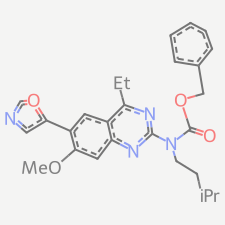 CCc1nc(N(CCC(C)C)C(=O)OCc2ccccc2)nc2cc(OC)c(-c3cnco3)cc12